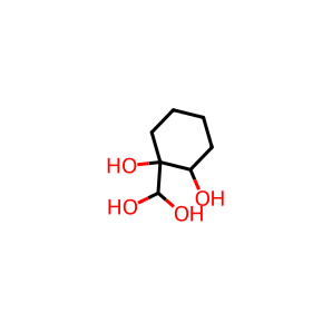 OC(O)C1(O)CCCCC1O